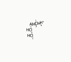 Cl.Cl.Cl.[AlH3].[H+]